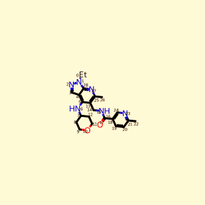 CCn1ncc2c(NC3CCOCC3)c(CNC(=O)c3ccc(C)nc3)c(C)nc21